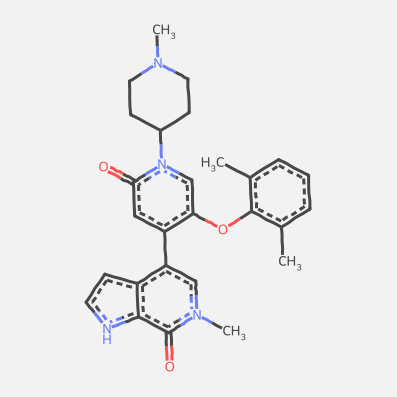 Cc1cccc(C)c1Oc1cn(C2CCN(C)CC2)c(=O)cc1-c1cn(C)c(=O)c2[nH]ccc12